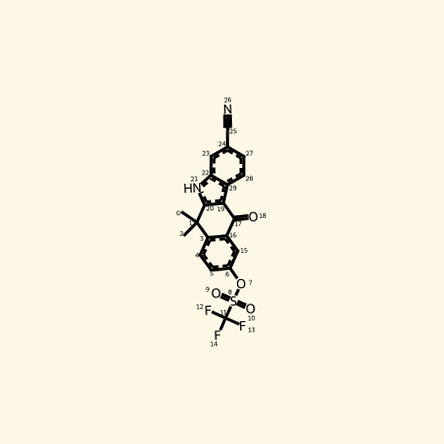 CC1(C)c2ccc(OS(=O)(=O)C(F)(F)F)cc2C(=O)c2c1[nH]c1cc(C#N)ccc21